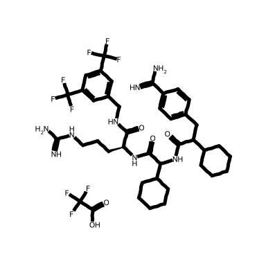 N=C(N)NCCC[C@H](NC(=O)C(NC(=O)C(Cc1ccc(C(=N)N)cc1)C1CCCCC1)C1CCCCC1)C(=O)NCc1cc(C(F)(F)F)cc(C(F)(F)F)c1.O=C(O)C(F)(F)F